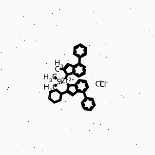 CC1=Cc2c(-c3ccccc3)cccc2[CH]1[Zr+2]([CH]1C(C2CCCCC2)=Cc2c(-c3ccccc3)cccc21)=[Si](C)C.[Cl-].[Cl-]